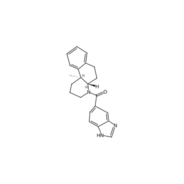 C[C@@]12CCCN(C(=O)c3ccc4[nH]cnc4c3)[C@H]1CCc1ccccc12